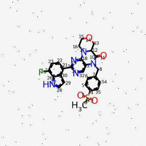 CS(=O)(=O)c1ccc(CN2C(=O)C3COCCN3c3nc(-c4ccc(F)c5[nH]ccc45)ncc32)cc1